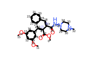 COC(=O)C(=C(/C)c1cc(OC)cc(OC)c1)/C(=C\c1ccccc1)C(=O)NN1CCN(C)CC1